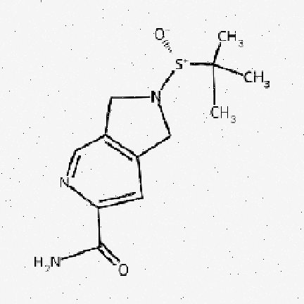 CC(C)(C)[S@@+]([O-])N1Cc2cnc(C(N)=O)cc2C1